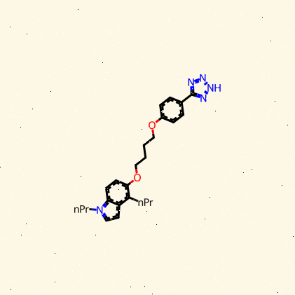 CCCc1c(OCCCCOc2ccc(-c3nn[nH]n3)cc2)ccc2c1ccn2CCC